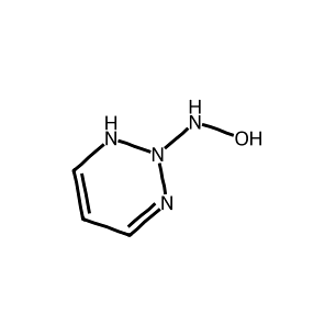 ONN1N=CC=CN1